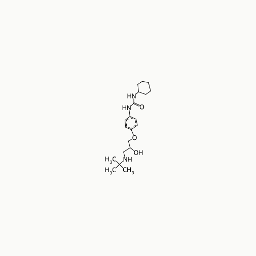 CC(C)(C)NCC(O)COc1ccc(NC(=O)NC2CCCCC2)cc1